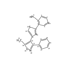 CCCc1ccncc1-c1nc(-c2c(-c3ccccc3)noc2C)cs1